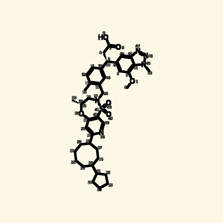 COc1cc([C@@H](CC(=O)O)c2ccc(C)c(CN3C[C@@H](C)Oc4cc(C5CCCCC(C6CCCC6)CC5)ncc4S3(=O)=O)c2)cc2nnn(C)c12